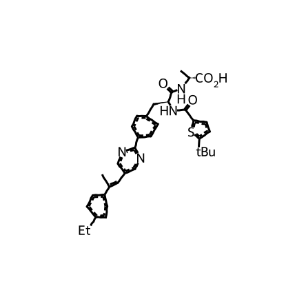 CCc1ccc(/C(C)=C/c2cnc(-c3ccc(C[C@H](NC(=O)c4ccc(C(C)(C)C)s4)C(=O)N[C@H](C)C(=O)O)cc3)nc2)cc1